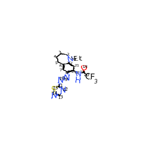 CCN1CCCCc2cc(N=Nc3ncns3)c(NC(=O)C(F)(F)F)cc21